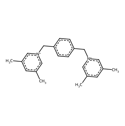 Cc1cc(C)c[n+](Cc2ccc(C[n+]3cc(C)cc(C)c3)cc2)c1